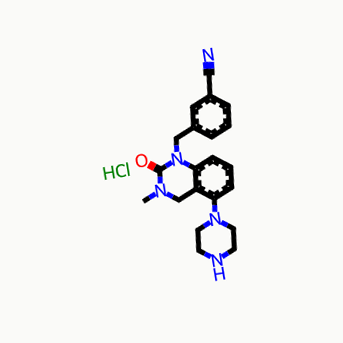 CN1Cc2c(N3CCNCC3)cccc2N(Cc2cccc(C#N)c2)C1=O.Cl